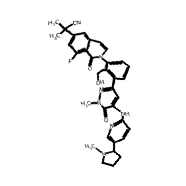 CN1CCCC1c1ccc(Nc2cc(-c3cccc(-n4ccc5cc(C(C)(C)C#N)cc(F)c5c4=O)c3CO)nn(C)c2=O)nc1